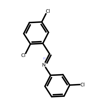 Clc1cccc(/N=C/c2cc(Cl)ccc2Cl)c1